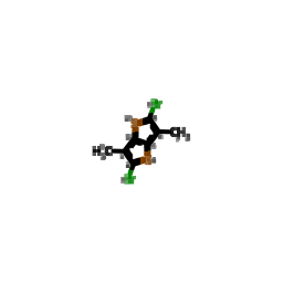 Cc1c(Br)sc2c(C)c(Br)sc12